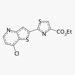 CCOC(=O)c1csc(-c2cc3nccc(Cl)c3s2)n1